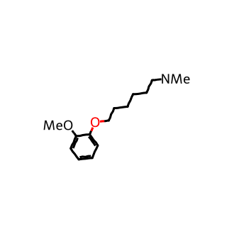 CNCCCCCCOc1ccccc1OC